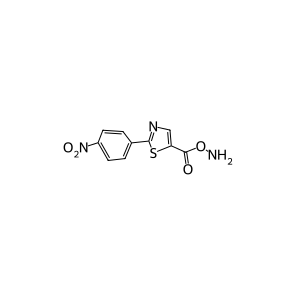 NOC(=O)c1cnc(-c2ccc([N+](=O)[O-])cc2)s1